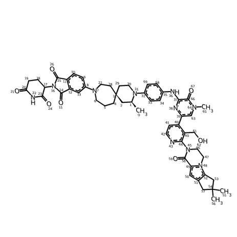 C[C@H]1C[C@]2(CCCN(c3ccc4c(c3)C(=O)N(C3CCC(=O)NC3=O)C4=O)CC2)CCN1c1ccc(Nc2nc(-c3ccnc(N4CCn5c(cc6c5CC(C)(C)C6)C4=O)c3CO)cn(C)c2=O)cc1